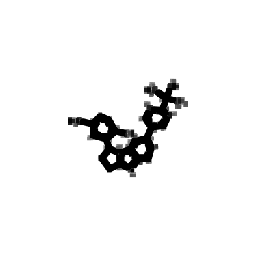 Cc1ccc(C)c(C2CCc3nc4ccc(-c5cnc(C(C)(C)O)nc5)cc4n32)c1